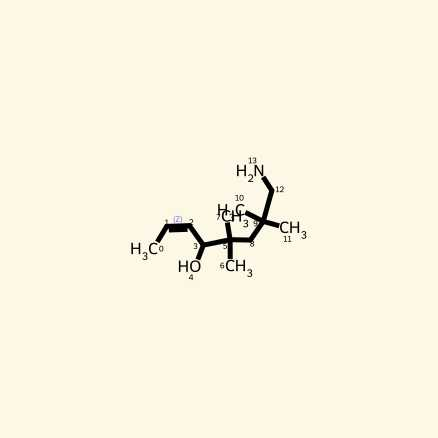 C/C=C\C(O)C(C)(C)CC(C)(C)CN